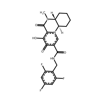 CN1C(=O)c2c(O)c(=O)c(C(=O)NCc3c(F)cc(F)cc3F)cn2[C@@H]2CCCC[C@H]21